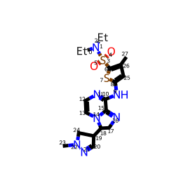 CCN(CC)S(=O)(=O)c1sc(NC2=NC=CN3C2=NCC3C2C=NN(C)C2)cc1C